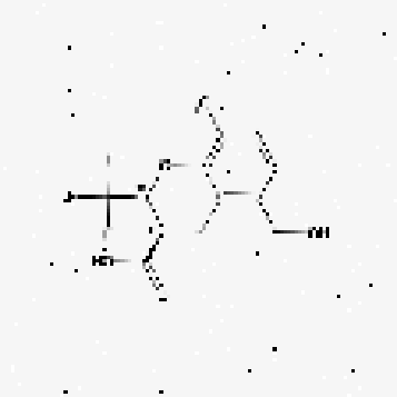 Cc1ncc(CO)c2c1O[C@H](C(F)(F)F)[C@H](C(=O)O)C2